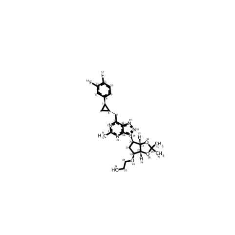 Cc1nc(C[C@@H]2C[C@H]2c2ccc(F)c(F)c2)c2nnn([C@@H]3C[C@H](OCCO)[C@H]4OC(C)(C)O[C@H]43)c2n1